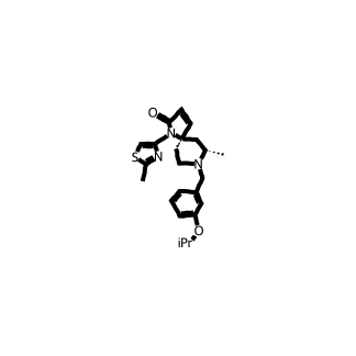 Cc1nc(N2C(=O)C=C[C@]23CCN(Cc2cccc(OC(C)C)c2)[C@@H](C)C3)cs1